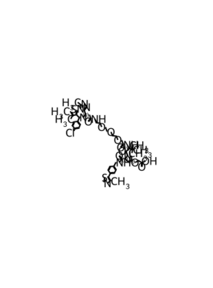 Cc1ncsc1-c1ccc(CNC(=O)[C@@H]2C[C@@H](OCC(=O)O)CN2C(=O)[C@@H](NC(=O)COCCOCCOCCNC(=O)C[C@@H]2N=C(c3ccc(Cl)cc3)c3c(sc(C)c3C)-n3c(C)nnc32)C(C)(C)C)cc1